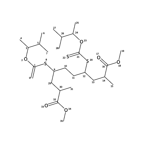 C=C(OC(C)C(C)C)SC(CCC(CC(C)C(=O)OC)SC(=S)OC(C)C(C)C)CC(C)C(=O)OC